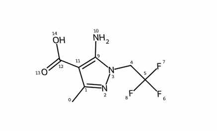 Cc1nn(CC(F)(F)F)c(N)c1C(=O)O